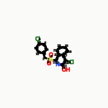 O=S(=O)(Cc1ccc(Cl)cc1)c1nc(O)c(Cl)c2ccccc12